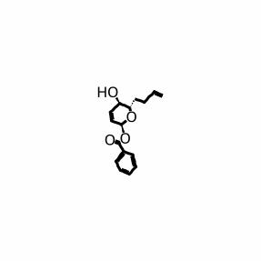 C=CCC[C@@H]1O[C@@H](OC(=O)c2ccccc2)C=C[C@H]1O